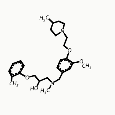 COc1cc(CN(C)CC(O)COc2ccccc2C)ccc1OCCN1CCC(C)CC1